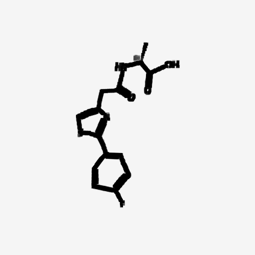 C[C@@H](NC(=O)Cc1csc(-c2ccc(F)cc2)n1)C(=O)O